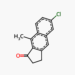 Cc1c2c(cc3cc(Cl)ccc13)CCC2=O